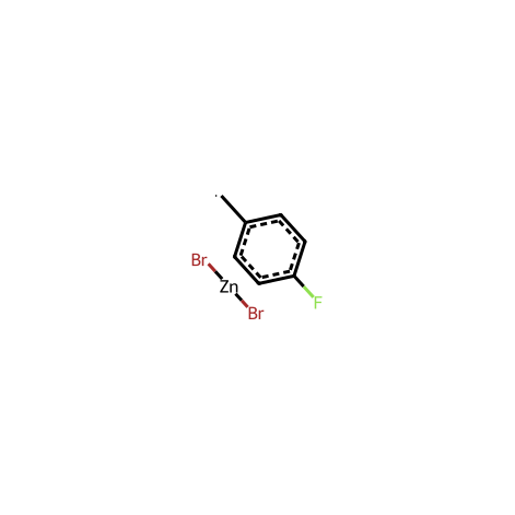 [Br][Zn][Br].[CH2]c1ccc(F)cc1